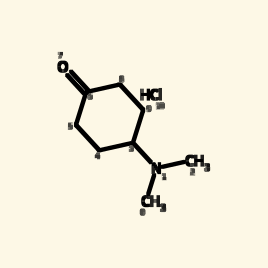 CN(C)C1CCC(=O)CC1.Cl